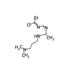 CC/C(Cl)=N\C=N/C(C)NCCCN(C)C